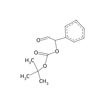 CC(C)(C)OC(=O)OC([C]=O)c1ccccc1